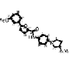 CNC1CCN(c2ccc(NC(=O)c3ccc(-c4cccc(OC)c4)o3)cc2)C1